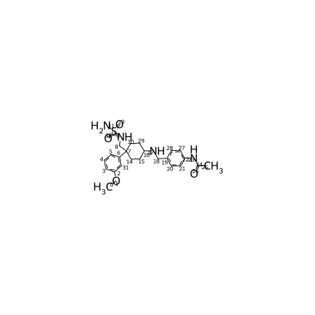 COc1cccc(C2(CNS(N)(=O)=O)CCC(NCc3ccc(NC(C)=O)cc3)CC2)c1